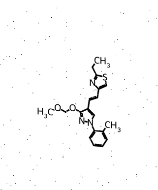 CCc1nc(C=Cc2cn(-c3ccccc3C)nc2OCOC)cs1